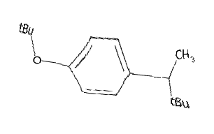 CC(c1ccc(OC(C)(C)C)cc1)C(C)(C)C